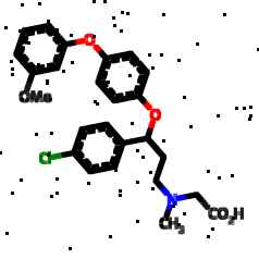 COc1cccc(Oc2ccc(OC(CCN(C)CC(=O)O)c3ccc(Cl)cc3)cc2)c1